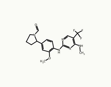 CNc1nc(Nc2ccc(C3CCCN3C=O)cc2OC)ncc1C(F)(F)F